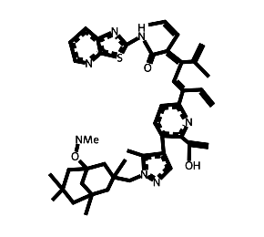 C=C\C(=C/C(C(=C)C)=C(/C=C\C)C(=O)Nc1nc2cccnc2s1)c1ccc(-c2cnn(CC3(C)CC4(C)CC(C)(C)CC(ONC)(C3)C4)c2C)c(C(=C)O)n1